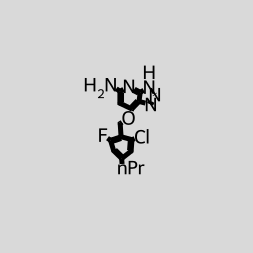 CCCc1cc(F)c(COc2cc(N)nc3[nH]nnc23)c(Cl)c1